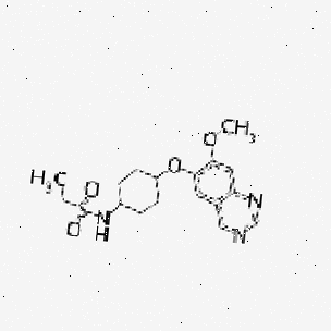 CCS(=O)(=O)NC1CCC(Oc2cc3cncnc3cc2OC)CC1